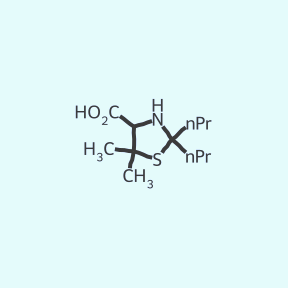 CCCC1(CCC)NC(C(=O)O)C(C)(C)S1